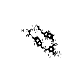 C=CC(=O)OCC1C[C@@H]2C3CC(CC3COC(=O)c3cc(C(=O)OCC4C[C@@H]5C6CC(CC6COC(=O)C(=C)C)[C@@H]5C4)cc(C(C)(C)C)c3)[C@@H]2C1